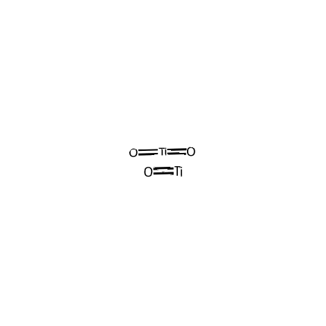 [O]=[Ti].[O]=[Ti]=[O]